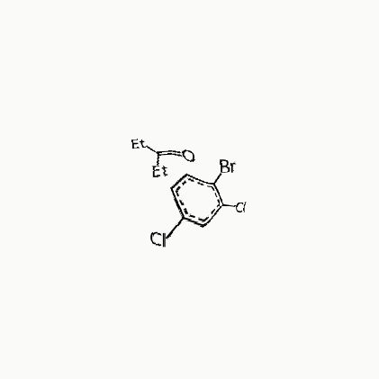 CCC(=O)CC.Clc1ccc(Br)c(Cl)c1